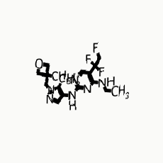 CCNc1nc(Nc2cnn(CC3(C)COC3)c2C)ncc1C(F)(F)CF